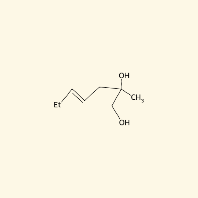 [CH2]C/C=C/CC(C)(O)CO